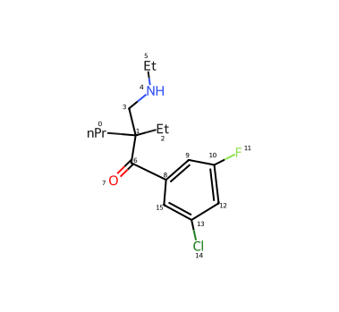 CCCC(CC)(CNCC)C(=O)c1cc(F)cc(Cl)c1